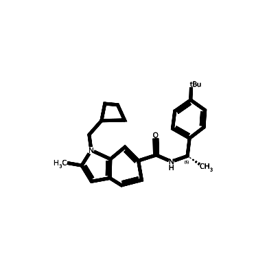 Cc1cc2ccc(C(=O)N[C@@H](C)c3ccc(C(C)(C)C)cc3)cc2n1CC1CCC1